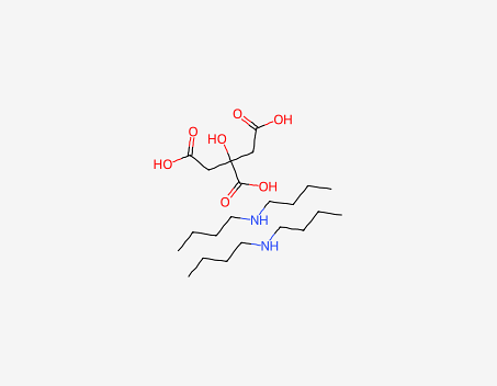 CCCCNCCCC.CCCCNCCCC.O=C(O)CC(O)(CC(=O)O)C(=O)O